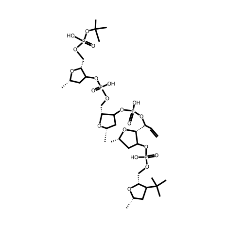 C=CC(OP(=O)(O)OC1C[C@H](C)O[C@@H]1COP(=O)(O)OC1C[C@H](C)O[C@@H]1COP(=O)(O)OC(C)(C)C)[C@H]1O[C@@H](C)CC1OP(=O)(O)OC[C@H]1O[C@@H](C)CC1C(C)(C)C